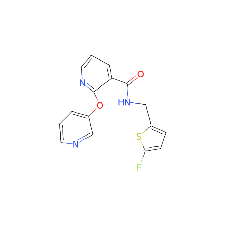 O=C(NCc1ccc(F)s1)c1cccnc1Oc1cccnc1